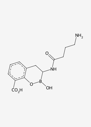 NCCCC(=O)NC1Cc2cccc(C(=O)O)c2OB1O